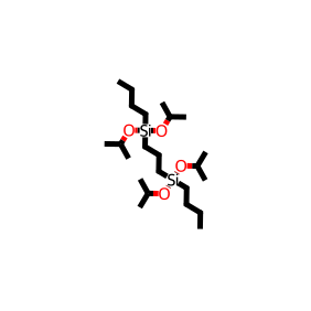 CCCC[Si](CCC[Si](CCCC)(OC(C)C)OC(C)C)(OC(C)C)OC(C)C